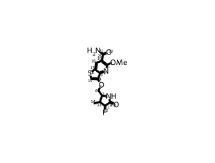 COc1nc2c(OCC3NC(=O)C(F)C3C)csc2cc1C(N)=O